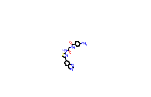 Nc1ccc(C(=O)NCC(=O)Nc2nc(-c3ccc4cncnc4c3)cs2)cc1